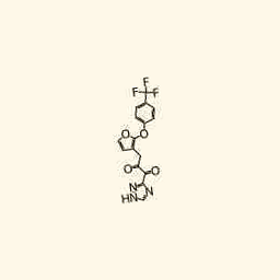 O=C(Cc1ccoc1Oc1ccc(C(F)(F)F)cc1)C(=O)c1nc[nH]n1